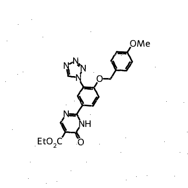 CCOC(=O)c1cnc(-c2ccc(OCc3ccc(OC)cc3)c(-n3cnnn3)c2)[nH]c1=O